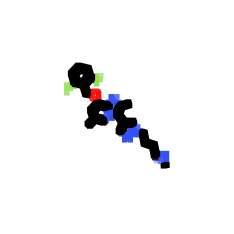 C/N=C/CCCn1cc(-c2c(C)nc3c(OCc4c(F)cccc4F)cc(C)cn23)cn1